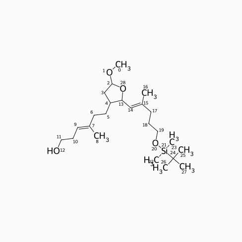 COC1CC(CC/C(C)=C/CCO)C(/C=C(\C)CCCO[Si](C)(C)C(C)(C)C)O1